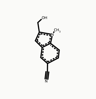 Cn1c(CO)cc2cc(C#N)ccc21